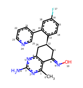 Cc1nc(N)nc2c1C(=NO)C[C@H](c1ccc(F)cc1-c1cccnc1)C2